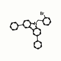 Brc1ccccc1Cn1c2ccc(-c3ccccc3)cc2c2cc(-c3ccccc3)ccc21